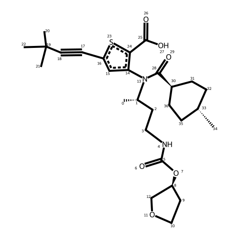 C[C@@H](CCNC(=O)O[C@H]1CCOC1)N(c1cc(C#CC(C)(C)C)sc1C(=O)O)C(=O)[C@H]1CC[C@H](C)CC1